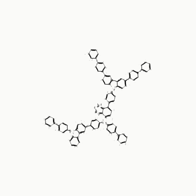 c1ccc(-c2ccc(-c3ccc4c(c3)c3cc(-c5ccc(-c6ccccc6)cc5)ccc3n4-c3ccc(-c4ccc(N(c5ccc(-c6ccccc6)cc5)c5ccc(-c6ccc7c(c6)c6ccccc6n7-c6ccc(-c7ccccc7)cc6)cc5)c5nsnc45)cc3)cc2)cc1